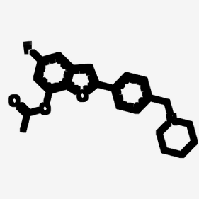 CC(=O)Oc1cc(F)cc2cc(-c3ccc(CN4CCCCC4)cc3)oc12